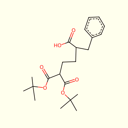 CC(C)(C)OC(=O)C(CCC(Cc1ccccc1)C(=O)O)C(=O)OC(C)(C)C